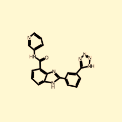 O=C(Nc1cccnc1)c1cccc2[nH]c(-c3cccc(-c4nnn[nH]4)c3)nc12